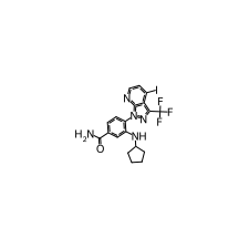 NC(=O)c1ccc(-n2nc(C(F)(F)F)c3c(I)ccnc32)c(NC2CCCC2)c1